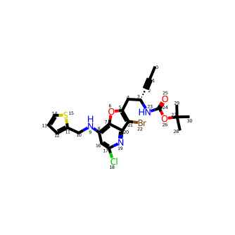 CC#C[C@@H](Cc1oc2c(NCc3cccs3)cc(Cl)nc2c1Br)NC(=O)OC(C)(C)C